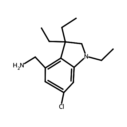 CCN1CC(CC)(CC)c2c(CN)cc(Cl)cc21